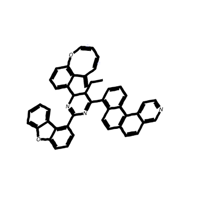 C=C1/C=C\C=C/Oc2cccc(C3N=C(c4cccc5oc6ccccc6c45)N=C(c4cccc5c4ccc4ccc6cnccc6c45)C3CC)c21